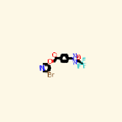 O=C(COc1cncc(Br)c1)c1ccc(-c2noc(C(F)(F)F)n2)cc1